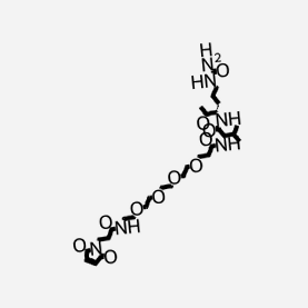 CC(=O)[C@H](CCCNC(N)=O)NC(=O)[C@@H](NC(=O)CCOCCOCCOCCOCCNC(=O)CCN1C(=O)C=CC1=O)C(C)C